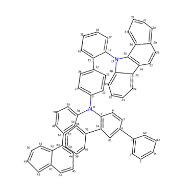 c1ccc(-c2ccc(N(c3ccc(-c4ccccc4-n4c5ccccc5c5ccc6ccccc6c54)cc3)c3cccc(-c4cccc5ccccc45)c3)c(-c3ccccc3)c2)cc1